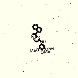 COc1cc(Nc2ccn3ncc(-c4cccc5ccccc45)c3n2)cc(OC)c1OC